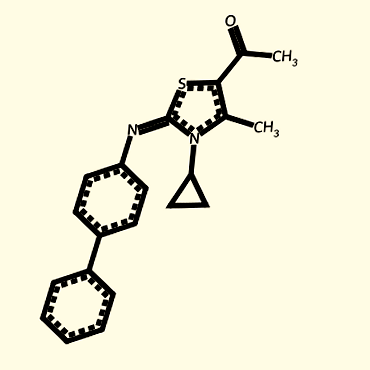 CC(=O)c1sc(=Nc2ccc(-c3ccccc3)cc2)n(C2CC2)c1C